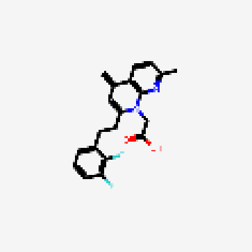 C=C1C=C(CCc2cccc(F)c2F)N(CC(=O)O)c2nc(C)ccc21